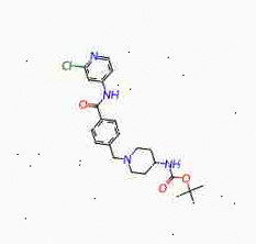 CC(C)(C)OC(=O)NC1CCN(Cc2ccc(C(=O)Nc3ccnc(Cl)c3)cc2)CC1